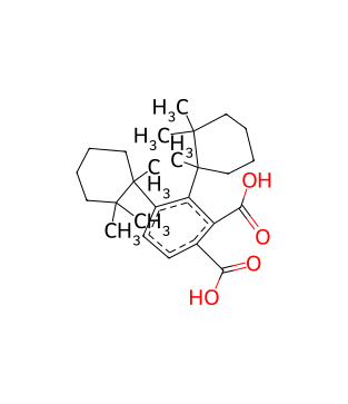 CC1(C)CCCCC1(C)c1ccc(C(=O)O)c(C(=O)O)c1C1(C)CCCCC1(C)C